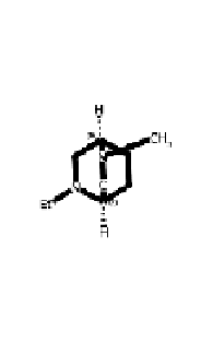 CCN1C[C@H]2CC[C@@H]1CN2C